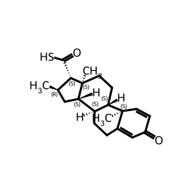 C[C@@H]1C[C@H]2[C@@H]3CCC4=CC(=O)C=C[C@]4(C)[C@H]3CC[C@]2(C)[C@H]1C(=O)S